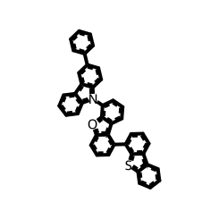 c1ccc(-c2ccc3c(c2)c2ccccc2n3-c2cccc3c2oc2cccc(-c4cccc5c4sc4ccccc45)c23)cc1